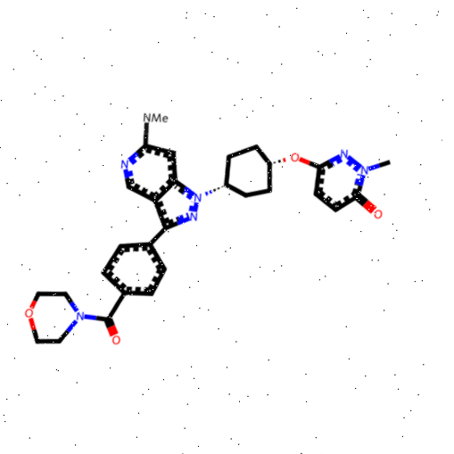 CNc1cc2c(cn1)c(-c1ccc(C(=O)N3CCOCC3)cc1)nn2[C@H]1CC[C@@H](Oc2ccc(=O)n(C)n2)CC1